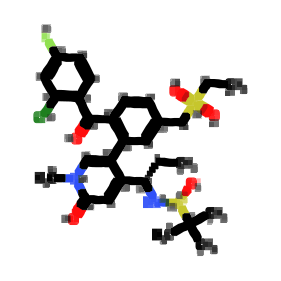 CC[C@H](N[S@@+]([O-])C(C)(C)C)c1cc(=O)n(C)cc1-c1cc(CS(=O)(=O)CC)ccc1C(=O)c1ccc(F)cc1Cl